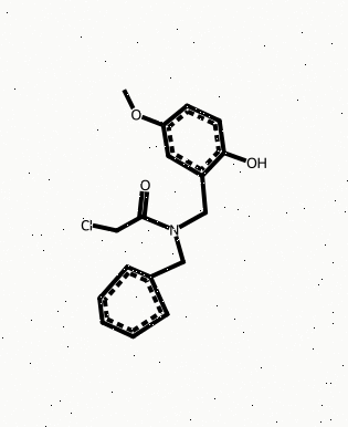 COc1ccc(O)c(CN(Cc2ccccc2)C(=O)CCl)c1